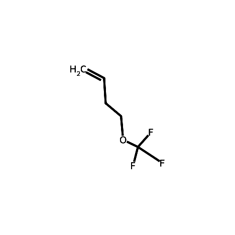 C=CCCOC(F)(F)F